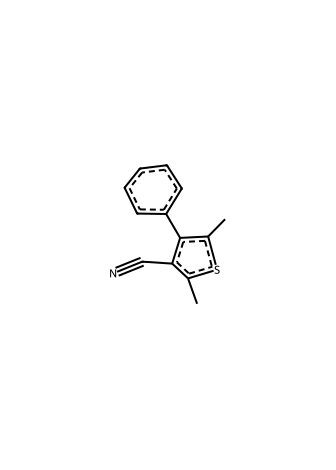 Cc1sc(C)c(-c2ccccc2)c1C#N